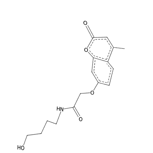 Cc1cc(=O)oc2cc(OCC(=O)NCCCCO)ccc12